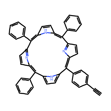 C#Cc1ccc(-c2c3nc(c(-c4ccccc4)c4ccc([nH]4)c(-c4ccccc4)c4nc(c(-c5ccccc5)c5ccc2[nH]5)C=C4)C=C3)cc1